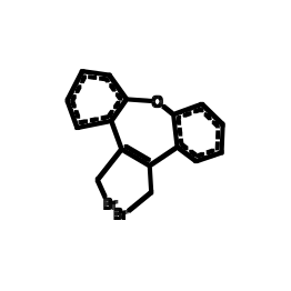 BrCC1=C(CBr)c2ccccc2Oc2ccccc21